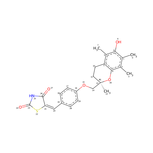 Cc1c(C)c2c(c(C)c1O)CC[C@](C)(COc1ccc(C=C3SC(=O)NC3=O)cc1)O2